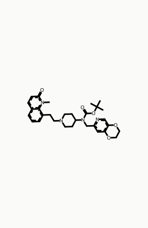 Cn1c(=O)ccc2cccc(CCN3CCC(N(Cc4cc5c(cn4)OCCO5)C(=O)OC(C)(C)C)CC3)c21